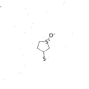 [O-][S+]1CCC([S])C1